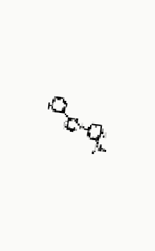 CN(C)c1cc(-n2cnc(-c3cccnc3)c2)ccn1